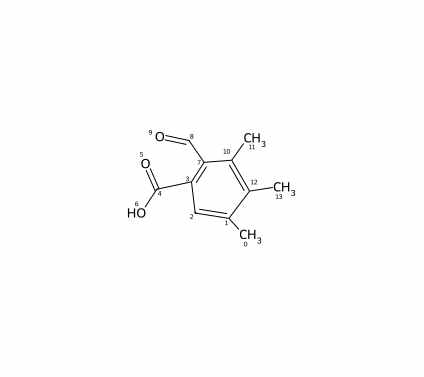 Cc1cc(C(=O)O)c(C=O)c(C)c1C